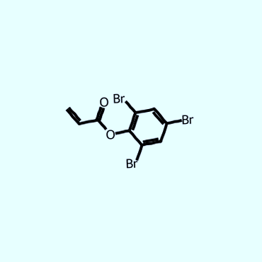 C=CC(=O)Oc1c(Br)cc(Br)cc1Br